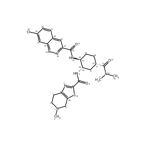 CN1CCc2nc(C(=O)N[C@H]3C[C@@H](C(=O)N(C)C)CC[C@@H]3NC(=O)c3cc4ccc(Cl)cc4nn3)sc2C1